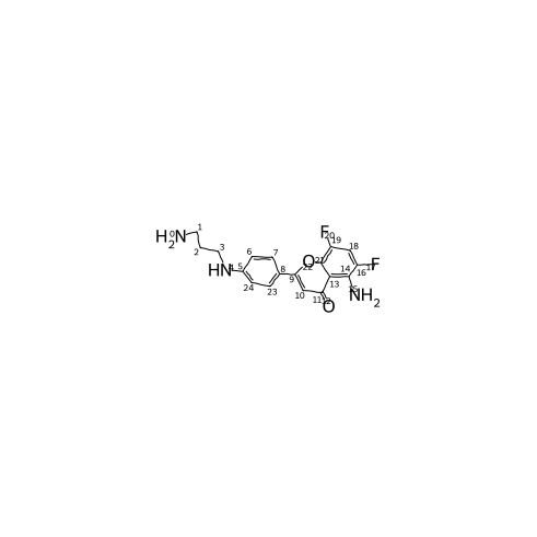 NCCCNc1ccc(-c2cc(=O)c3c(N)c(F)cc(F)c3o2)cc1